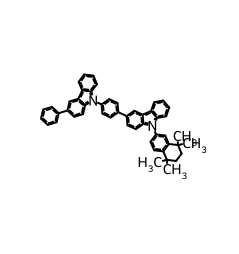 CC1(C)CCC(C)(C)c2cc(-n3c4ccccc4c4cc(-c5ccc(-n6c7ccccc7c7cc(-c8ccccc8)ccc76)cc5)ccc43)ccc21